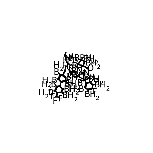 Bc1c(B)c(C(B)(B)Sc2nc(=O)c3c(n2C(B)(B)C(=O)N(CCN(CC)CC)Cc2c(B)c(B)c(-c4c(B)c(B)c(C(F)(F)F)c(B)c4B)c(B)c2B)C(B)(B)C(B)(B)C3(B)B)c(B)c(B)c1F